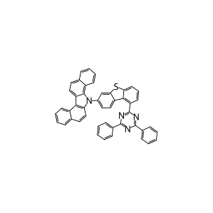 c1ccc(-c2nc(-c3ccccc3)nc(-c3cccc4sc5cc(-n6c7ccc8ccccc8c7c7ccc8ccccc8c76)ccc5c34)n2)cc1